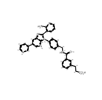 Nc1ncccc1-c1nc2cc(-c3cccnc3)cnc2n1-c1ccc(CNC(=O)c2cccc(CCC(=O)O)c2)cc1